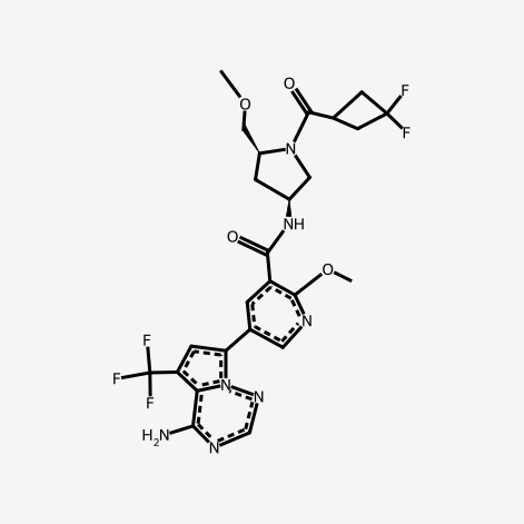 COC[C@@H]1C[C@H](NC(=O)c2cc(-c3cc(C(F)(F)F)c4c(N)ncnn34)cnc2OC)CN1C(=O)C1CC(F)(F)C1